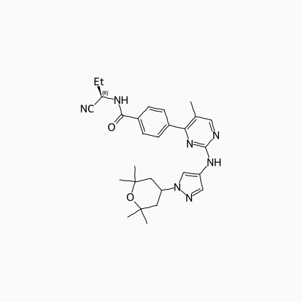 CC[C@H](C#N)NC(=O)c1ccc(-c2nc(Nc3cnn(C4CC(C)(C)OC(C)(C)C4)c3)ncc2C)cc1